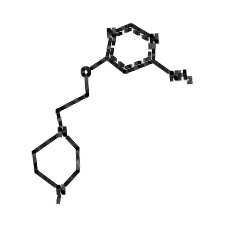 CN1CCN(CCOc2cc(N)ncn2)CC1